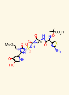 COCCn1c(-c2cc(=O)c(O)c[nH]2)nn(S(=O)(=O)NC(=O)N2C[C@H](NC(=O)C(=NOC(C)(C)C(=O)O)c3csc(N)n3)C2=O)c1=O